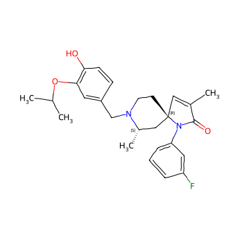 CC1=C[C@]2(CCN(Cc3ccc(O)c(OC(C)C)c3)[C@@H](C)C2)N(c2cccc(F)c2)C1=O